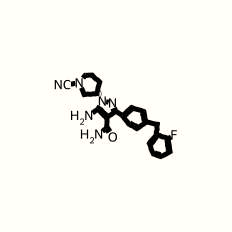 N#CN1CCC[C@H](n2nc(-c3ccc(Cc4ccccc4F)cc3)c(C(N)=O)c2N)C1